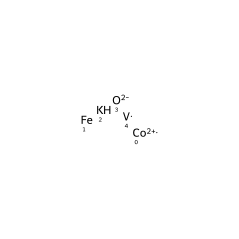 [Co+2].[Fe].[KH].[O-2].[V]